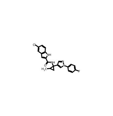 CC1CC1(NC(=O)c1cc2cc(Cl)ccc2[nH]1)c1cnn(-c2ccc(F)cc2)c1